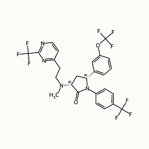 CN(CCc1ccnc(C(F)(F)F)n1)[C@@H]1C[C@H](c2cccc(OC(F)(F)F)c2)N(c2ccc(C(F)(F)F)cc2)C1=O